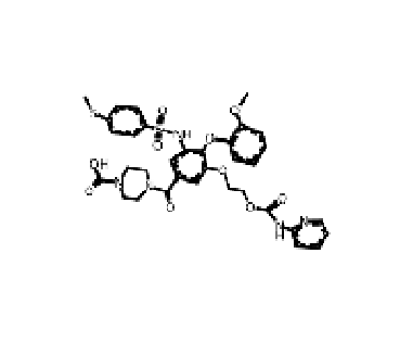 COc1ccccc1Oc1c(NS(=O)(=O)c2ccc(SC)cc2)cc(C(=O)N2CCN(C(=O)O)CC2)cc1OCCOC(=O)Nc1ccccn1